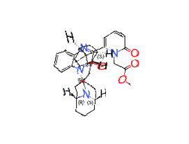 COC(=O)Cn1c(-c2nc3ccccc3n([C@H]3C[C@H]4CCC[C@@H](C3)N4CC[C@@H]3CC[C@H]4C[C@@H]3C4(C)C)c2=O)cccc1=O